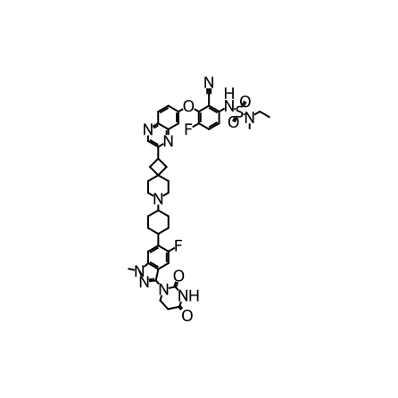 CCN(C)S(=O)(=O)Nc1ccc(F)c(Oc2ccc3ncc(C4CC5(CCN(C6CCC(c7cc8c(cc7F)c(N7CCC(=O)NC7=O)nn8C)CC6)CC5)C4)nc3c2)c1C#N